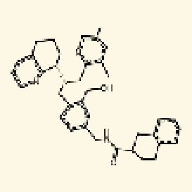 Cc1cnc(CN(Cc2ccc(CNC(=O)C3CCc4ccccc4C3)cc2CO)[C@H]2CCCc3cccnc32)c(C)c1